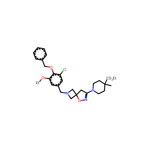 CCOC(=O)C1(C)CCN(C2=NOC3(C2)CN(Cc2cc(Cl)c(OCc4ccccc4)c(OCC)c2)C3)CC1